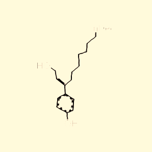 CCCCCCCCCCCCCCCCCC(=CCO)c1ccc(O)cc1